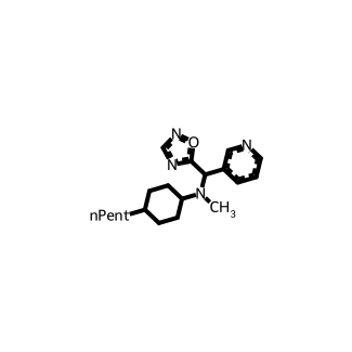 CCCCCC1CCC(N(C)C(c2cccnc2)c2ncno2)CC1